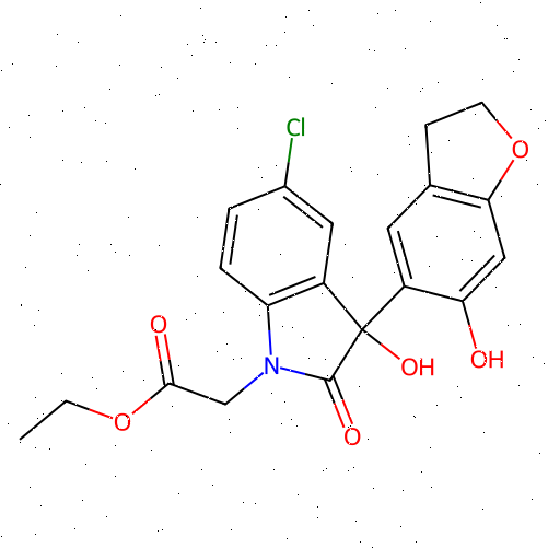 CCOC(=O)CN1C(=O)C(O)(c2cc3c(cc2O)OCC3)c2cc(Cl)ccc21